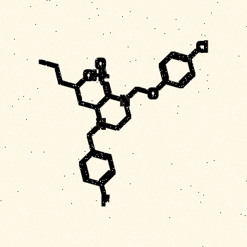 CCCC(O)CC1C(=C=O)N(COc2ccc(Cl)cc2)CCN1Cc1ccc(F)cc1